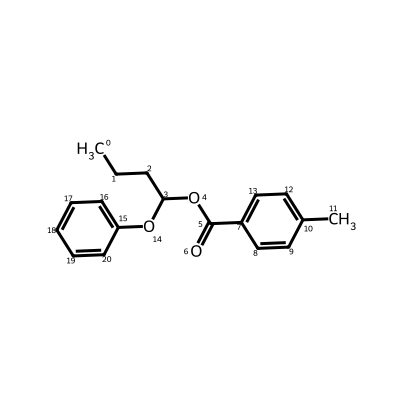 CCCC(OC(=O)c1ccc(C)cc1)Oc1ccccc1